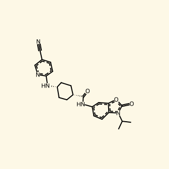 CC(C)n1c(=O)oc2cc(NC(=O)[C@H]3CC[C@@H](Nc4ccc(C#N)cn4)CC3)ccc21